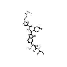 COCCn1ncc(C(=O)N[C@H](c2nc3ccc([C@@H](C)NC(=O)C(F)C(F)CF)cc3[nH]2)C2CCC(F)(F)CC2)n1